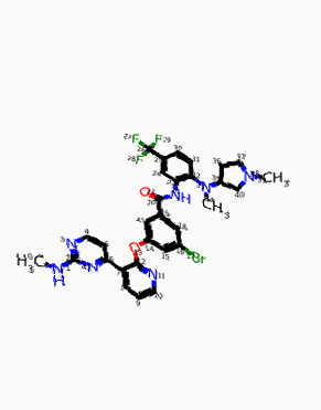 CNc1nccc(-c2cccnc2Oc2cc(Br)cc(C(=O)Nc3cc(C(F)(F)F)ccc3N(C)C3CCN(C)C3)c2)n1